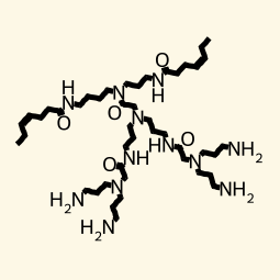 CC/C=C\CCC(=O)NCCCCN(CCCNC(=O)CC/C=C\CC)C(=O)CN(CCCNC(=O)CN(CCCN)CCCN)CCCNC(=O)CN(CCCN)CCCN